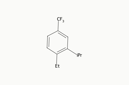 CCc1ccc(C(F)(F)F)cc1C(C)C